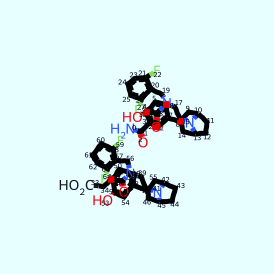 NC(=O)c1cccc(C2CC3CCC(C2)N3CCN(Cc2c(F)cccc2F)C(=O)CO)c1.O=C(O)CCC(=O)N(CCN1C2CCC1CC(c1cccc(O)c1)C2)Cc1c(F)cccc1F